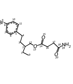 CCC(CCc1ccc(Br)cc1)COC(=O)CCC(N)=O